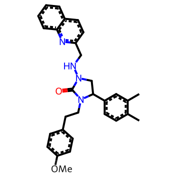 COc1ccc(CCN2C(=O)N(NCc3ccc4ccccc4n3)CC2c2ccc(C)c(C)c2)cc1